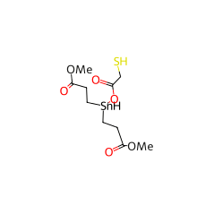 COC(=O)C[CH2][SnH]([CH2]CC(=O)OC)[O]C(=O)CS